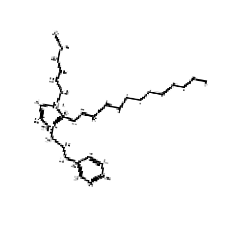 CCCCCCCCCCCCCc1n(CCCCCC)cc[n+]1CCCc1ccccc1